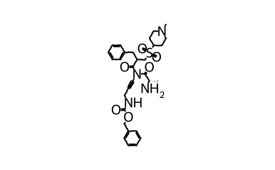 C[C@H](N)C(=O)N(C#CCNC(=O)OCc1ccccc1)C(=O)C(Cc1ccccc1)CS(=O)(=O)C1CCN(C)CC1